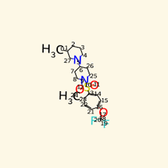 CC1CCCN(C2CCN(S(=O)(=O)C3=CC=C(OC(F)F)C=C[C@@H]3C)CC2)C1